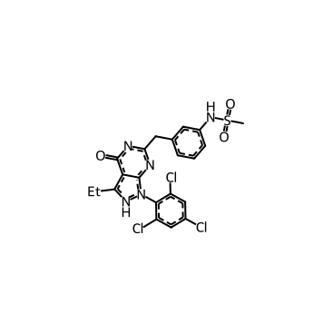 CCc1[nH]n(-c2c(Cl)cc(Cl)cc2Cl)c2nc(Cc3cccc(NS(C)(=O)=O)c3)nc(=O)c1-2